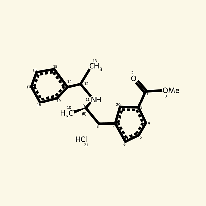 COC(=O)c1cccc(C[C@@H](C)NC(C)c2ccccc2)c1.Cl